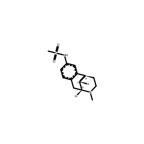 CN1CC[C@]23CCCC[C@H]2[C@H]1Cc1ccc(NS(C)(=O)=O)cc13